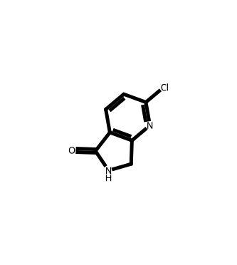 O=C1NCc2nc(Cl)ccc21